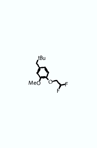 COc1cc(CC(C)(C)C)ccc1OCC(F)F